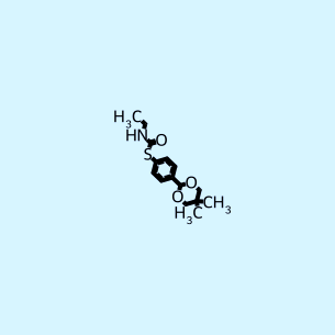 CCNC(=O)Sc1ccc(C2OCC(C)(C)CO2)cc1